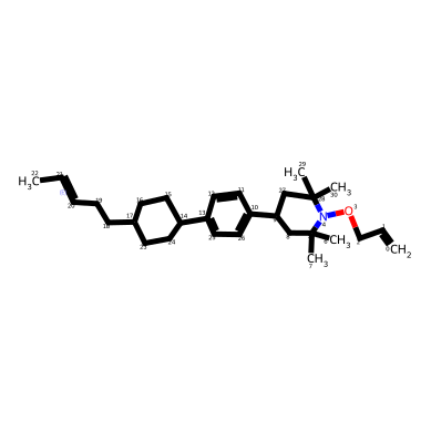 C=CCON1C(C)(C)CC(c2ccc(C3CCC(CC/C=C/C)CC3)cc2)CC1(C)C